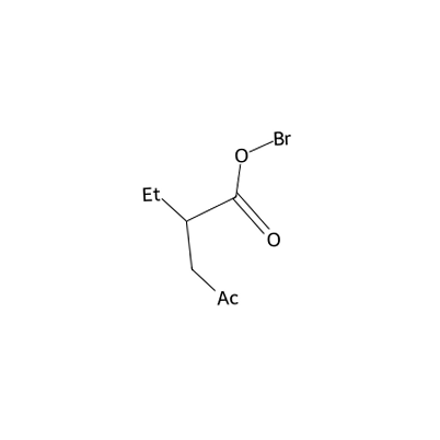 CCC(CC(C)=O)C(=O)OBr